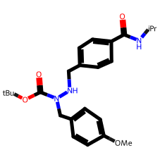 COc1ccc(CN(NCc2ccc(C(=O)NC(C)C)cc2)C(=O)OC(C)(C)C)cc1